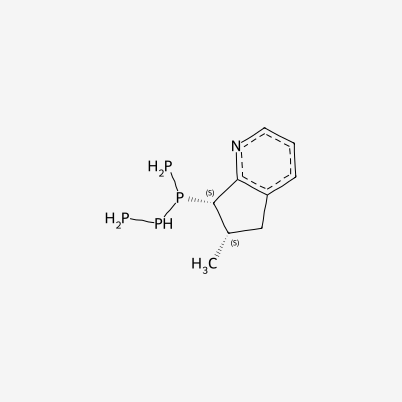 C[C@H]1Cc2cccnc2[C@H]1P(P)PP